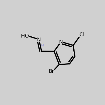 O/N=C/c1nc(Cl)ccc1Br